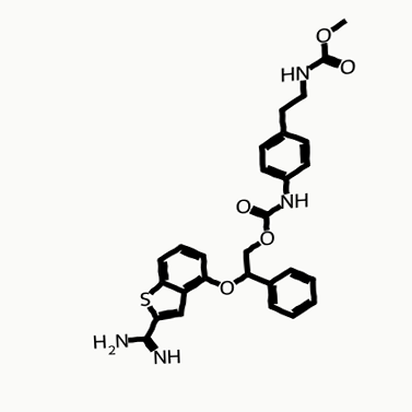 COC(=O)NCCc1ccc(NC(=O)OCC(Oc2cccc3sc(C(=N)N)cc23)c2ccccc2)cc1